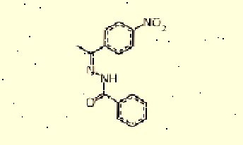 CC(=NNC(=O)c1ccccc1)c1ccc([N+](=O)[O-])cc1